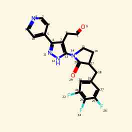 O=CCc1c(-c2ccncc2)n[nH]c1N1CCC(Cc2cc(F)c(F)c(F)c2)C1=O